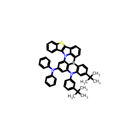 CC(C)(C)c1cccc(N2c3cc(C(C)(C)C)ccc3B3c4c2cc(N(c2ccccc2)c2ccccc2)cc4-n2c4c3cccc4c3sc4ccccc4c32)c1